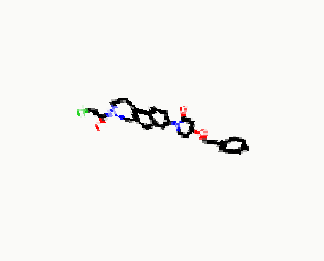 O=C(CCl)N1CCC2=C(Cc3cc(-n4ccc(OCc5ccccc5)cc4=O)ccc32)C1